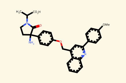 COc1ccc(-c2cc(COc3ccc(C4(N)CCN(C(C)C(=O)O)C4=O)cc3)c3ccccc3n2)cc1